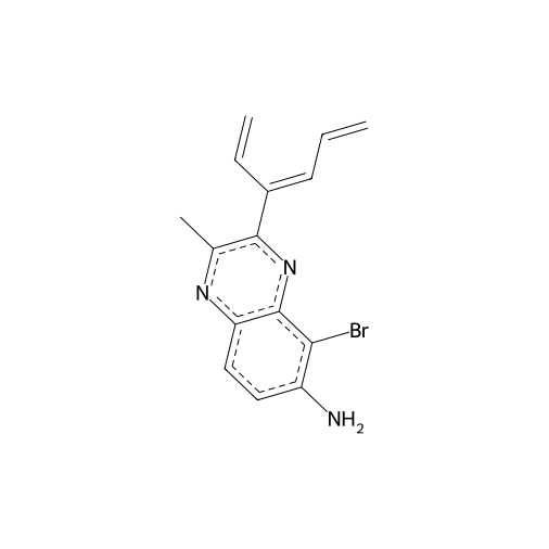 C=C/C=C(\C=C)c1nc2c(Br)c(N)ccc2nc1C